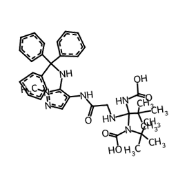 Cn1ncc(NC(=O)CNC(NC(=O)O)(N(C(=O)O)C(C)(C)C)C(C)(C)C)c1NC(c1ccccc1)(c1ccccc1)c1ccccc1